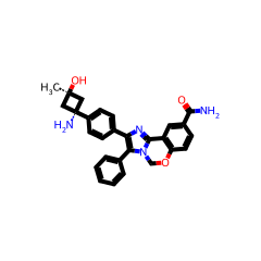 C[C@]1(O)C[C@@](N)(c2ccc(-c3nc4n(c3-c3ccccc3)COc3ccc(C(N)=O)cc3-4)cc2)C1